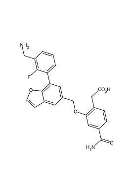 NCc1cccc(-c2cc(COc3cc(C(N)=O)ccc3CC(=O)O)cc3ccoc23)c1F